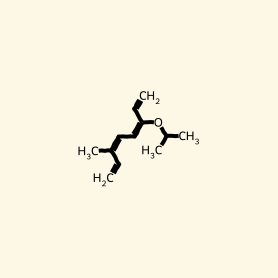 C=C/C(C)=C\C=C(/C=C)OC(C)C